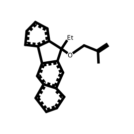 C=C(C)COC1(CC)c2ccccc2-c2cc3ccccc3cc21